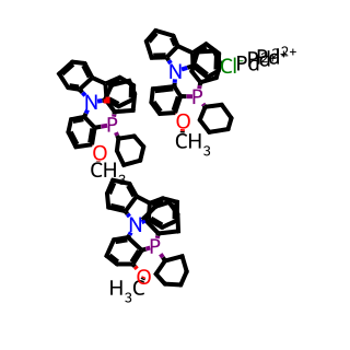 COc1cccc(-n2c3ccccc3c3ccccc32)c1P(C1CCCCC1)C1CCCCC1.COc1cccc(-n2c3ccccc3c3ccccc32)c1P(C1CCCCC1)C1CCCCC1.COc1cccc(-n2c3ccccc3c3ccccc32)c1P(C1CCCCC1)C1CCCCC1.[Cl-].[Pd+2].[Pd+2].[Pd+2]